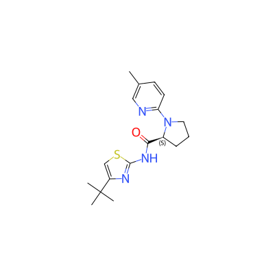 Cc1ccc(N2CCC[C@H]2C(=O)Nc2nc(C(C)(C)C)cs2)nc1